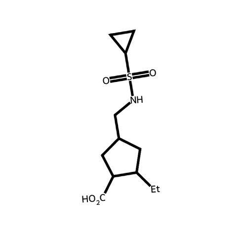 CCC1CC(CNS(=O)(=O)C2CC2)CC1C(=O)O